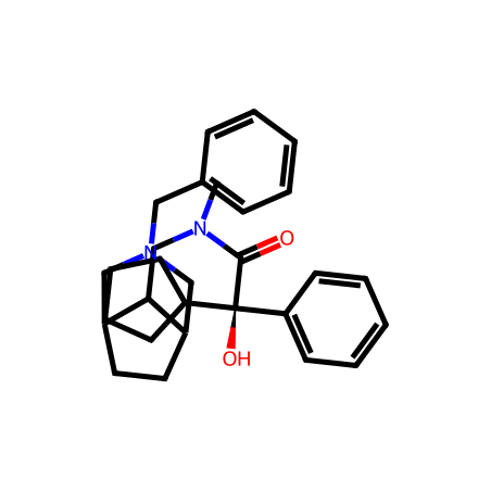 CN(CC1C2CCC1CN(Cc1ccccc1)C2)C(=O)[C@](O)(c1ccccc1)C1CCCC1